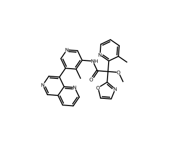 COC(C(=O)Nc1cncc(-c2cncc3cccnc23)c1C)(c1ncco1)c1ncccc1C